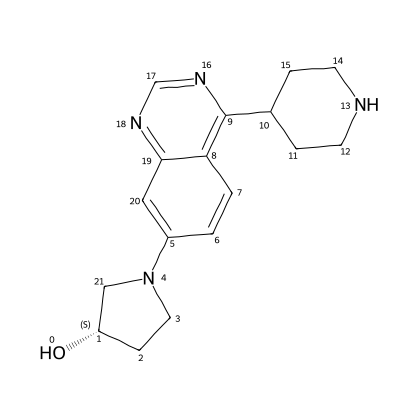 O[C@H]1CCN(c2ccc3c(C4CCNCC4)ncnc3c2)C1